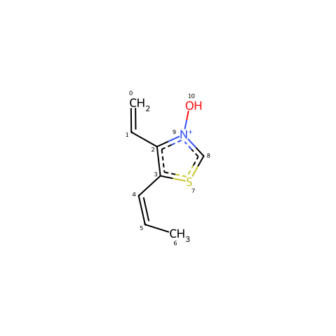 C=Cc1c(/C=C\C)sc[n+]1O